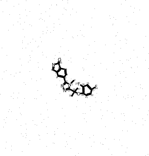 Cn1c(-c2ccc3c(c2)C=NC3=O)nnc1C(C)(C)Oc1ccc(F)cc1F